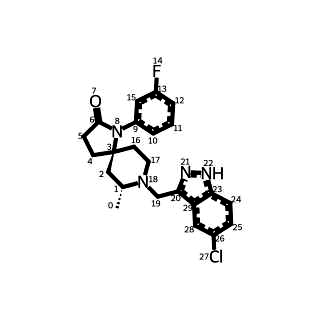 C[C@@H]1C[C@]2(CCC(=O)N2c2cccc(F)c2)CCN1Cc1n[nH]c2ccc(Cl)cc12